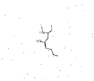 CCC/C=C(/O)CC(CC)NC